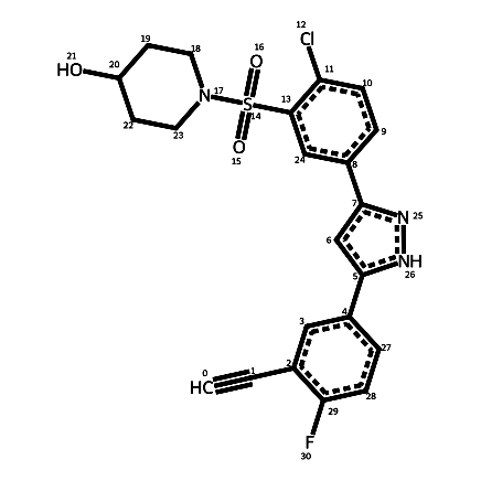 C#Cc1cc(-c2cc(-c3ccc(Cl)c(S(=O)(=O)N4CCC(O)CC4)c3)n[nH]2)ccc1F